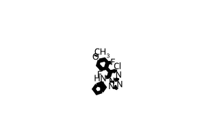 COc1cc(F)c(-c2c(Cl)nc3ncnn3c2NC2CC3CCC2C3)c(F)c1